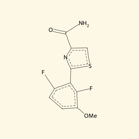 COc1ccc(F)c(-c2nc(C(N)=O)cs2)c1F